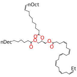 CC/C=C\C/C=C\C/C=C\C/C=C\C/C=C\C/C=C\CCC(=O)OC[C@@H](COC(=O)CCCCCCCCCCCCCCC)OC(=O)CCCCCCC/C=C\CCCCCCCC